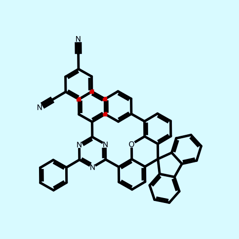 N#Cc1cc(C#N)cc(-c2ccc(-c3cccc4c3Oc3c(-c5nc(-c6ccccc6)nc(-c6ccccc6)n5)cccc3C43c4ccccc4-c4ccccc43)cc2)c1